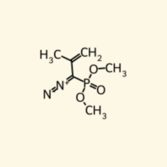 C=C(C)C(=[N+]=[N-])P(=O)(OC)OC